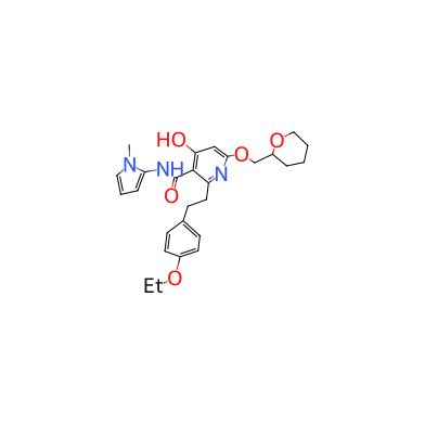 CCOc1ccc(CCc2nc(OCC3CCCCO3)cc(O)c2C(=O)Nc2cccn2C)cc1